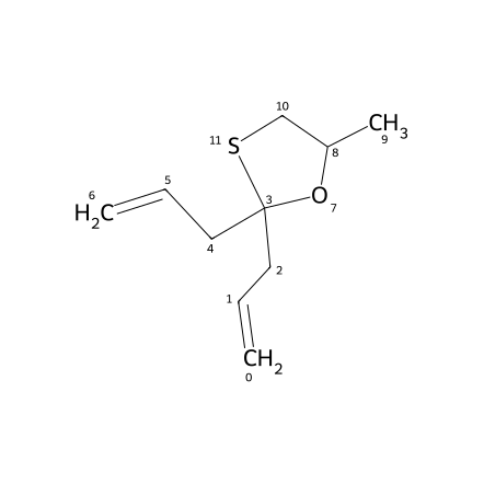 C=CCC1(CC=C)OC(C)CS1